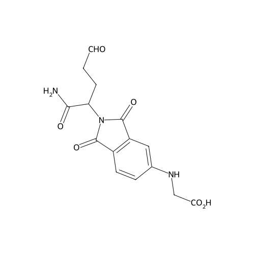 NC(=O)C(CCC=O)N1C(=O)c2ccc(NCC(=O)O)cc2C1=O